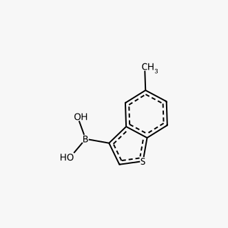 Cc1ccc2scc(B(O)O)c2c1